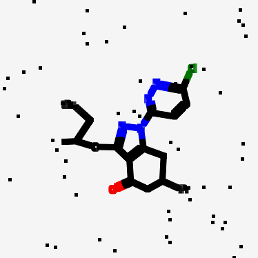 CC(Cc1nn(-c2ccc(Cl)nn2)c2c1C(=O)CC(C(C)C)C2)CC(C)(C)C